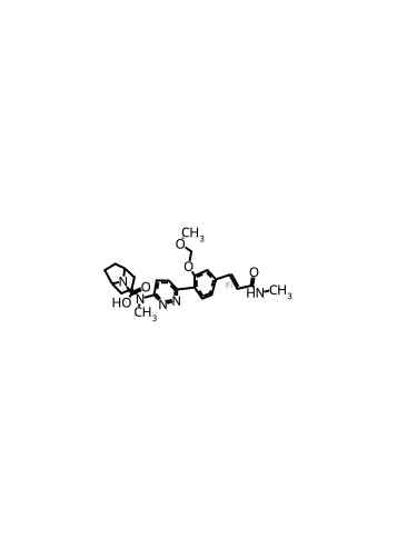 CNC(=O)/C=C/c1ccc(-c2ccc(N(C)C3CC4CCC(C3)N4C(=O)O)nn2)c(OCOC)c1